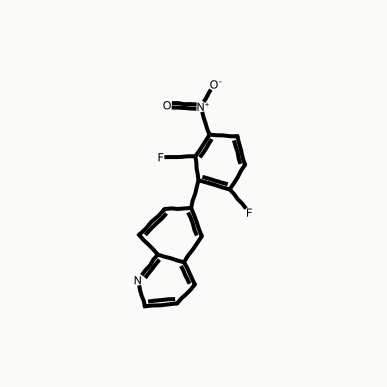 O=[N+]([O-])c1ccc(F)c(-c2ccc3ncccc3c2)c1F